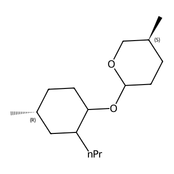 CCCC1C[C@H](C)CCC1OC1CC[C@H](C)CO1